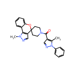 Cc1c(C(=O)N2CCC3(CC2)Oc2ccccc2-c2c3cnn2C)cnn1-c1ccccc1